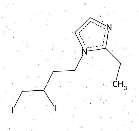 CCc1nccn1CCC(I)CI